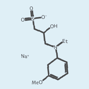 CCN(CC(O)CS(=O)(=O)[O-])C1C=CC=C(OC)C1.[Na+]